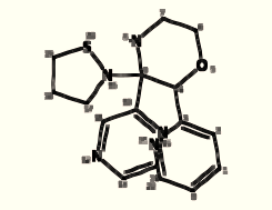 c1ccc(C2OCC[N]C2(c2cnccn2)N2CCCS2)nc1